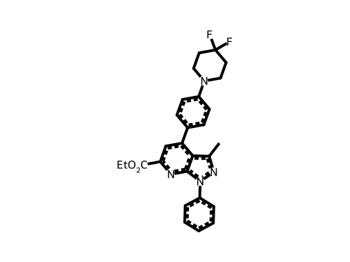 CCOC(=O)c1cc(-c2ccc(N3CCC(F)(F)CC3)cc2)c2c(C)nn(-c3ccccc3)c2n1